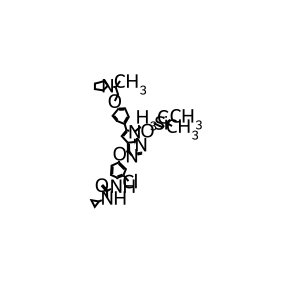 CC(COc1ccc(-c2cc3c(Oc4ccc(NC(=O)NC5CC5)c(Cl)c4)ncnc3n2COCC[Si](C)(C)C)cc1)N1CCCC1